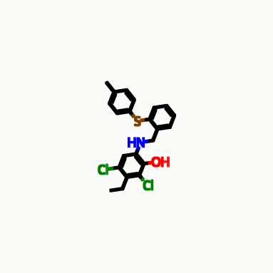 CCc1c(Cl)cc(NCc2ccccc2Sc2ccc(C)cc2)c(O)c1Cl